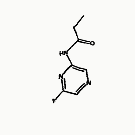 CCC(=O)Nc1cncc(F)n1